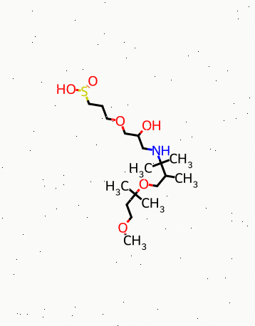 COCCC(C)(C)OCC(C)C(C)(C)NCC(O)COCCCS(=O)O